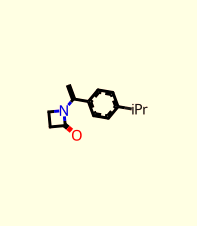 C=C(c1ccc(C(C)C)cc1)N1CCC1=O